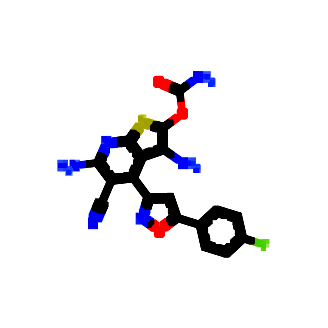 N#Cc1c(N)nc2sc(OC(N)=O)c(N)c2c1-c1cc(-c2ccc(F)cc2)on1